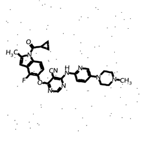 Cc1cc2c(F)c(Oc3ncnc(Nc4ccc(N5CCN(C)CC5)cn4)c3C#N)ccc2n1C(=O)C1CC1